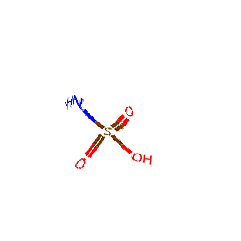 [NH]S(=O)(=O)O